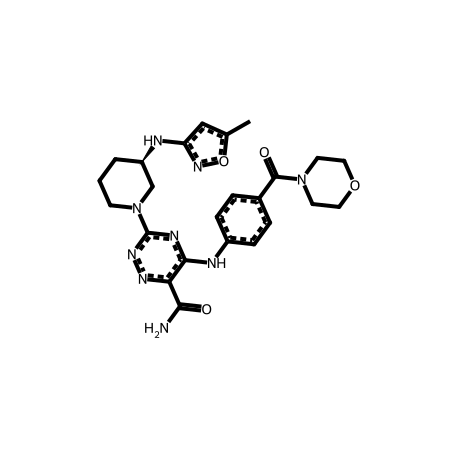 Cc1cc(N[C@@H]2CCCN(c3nnc(C(N)=O)c(Nc4ccc(C(=O)N5CCOCC5)cc4)n3)C2)no1